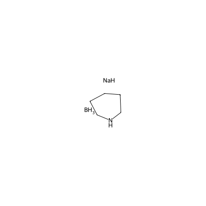 B.C1CCNCC1.[NaH]